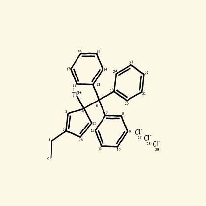 CCC1=C[C]([Ti+3])(C(c2ccccc2)(c2ccccc2)c2ccccc2)C=C1.[Cl-].[Cl-].[Cl-]